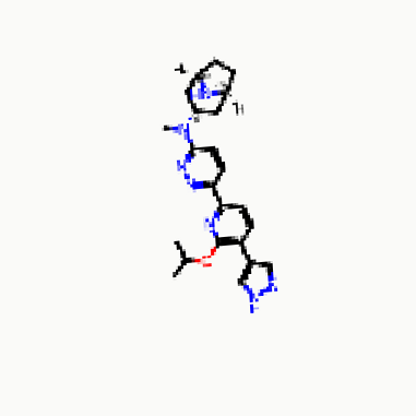 CC(C)Oc1nc(-c2ccc(N(C)[C@@H]3C[C@H]4CC[C@@H](C3)N4)nn2)ccc1-c1cn[nH]c1